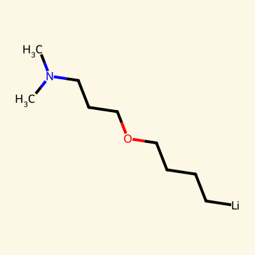 [Li][CH2]CCCOCCCN(C)C